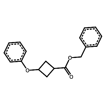 O=C(OCc1ccccc1)C1CC(Oc2ccccc2)C1